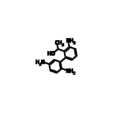 CC(O)c1c(N)cccc1-c1cc(N)ccc1N